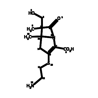 CC1(CO)C(=O)N2C(C(=O)O)=C(SCCN)CC21C